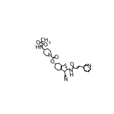 CS(=O)(=O)NC1CCN(C(=O)OC2CCC3=C(C2)SC(NC(=O)/C=C/c2cccnc2)C3C#N)CC1